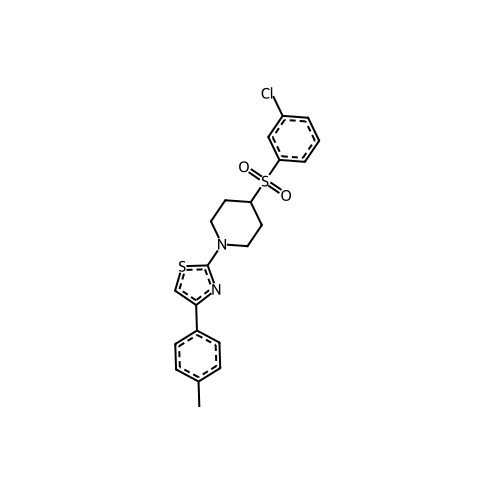 Cc1ccc(-c2csc(N3CCC(S(=O)(=O)c4cccc(Cl)c4)CC3)n2)cc1